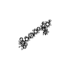 CC(=O)C(C)N1C(=O)N(c2ccc(N3CCN(c4ccc(OCC5COC(Cn6ccnc6)(c6ccc(F)cc6F)O5)cc4)CC3)cc2)C(=O)C1(C)C